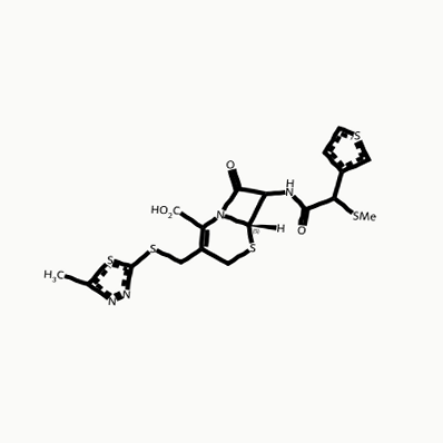 CSC(C(=O)NC1C(=O)N2C(C(=O)O)=C(CSc3nnc(C)s3)CS[C@@H]12)c1ccsc1